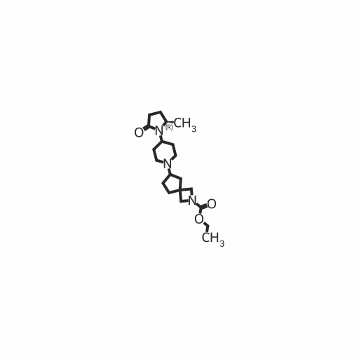 CCOC(=O)N1CC2(CCC(N3CCC(N4C(=O)CC[C@H]4C)CC3)C2)C1